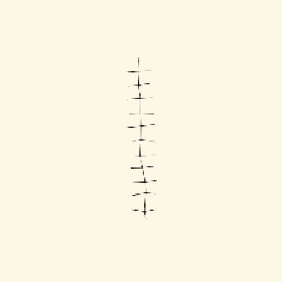 NC(F)(F)C(F)(F)C(F)(F)C(F)(F)C(F)(F)C(F)(F)C(F)(F)C(F)(F)C(F)(F)C(F)(F)C(F)(F)C(F)(F)F